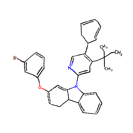 CC(C)(C)c1cc(N2C3=CC(Oc4cccc(Br)c4)=CCC3c3ccccc32)ncc1C1C=CC=CC1